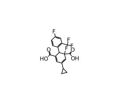 CC1(C(=O)O)C=C(C2CC2)C=C(C(=O)O)C1c1ccc(F)cc1C(F)(F)F